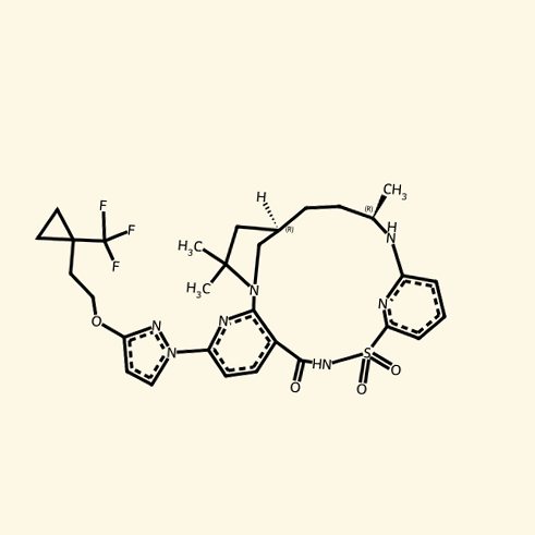 C[C@@H]1CC[C@H]2CN(c3nc(-n4ccc(OCCC5(C(F)(F)F)CC5)n4)ccc3C(=O)NS(=O)(=O)c3cccc(n3)N1)C(C)(C)C2